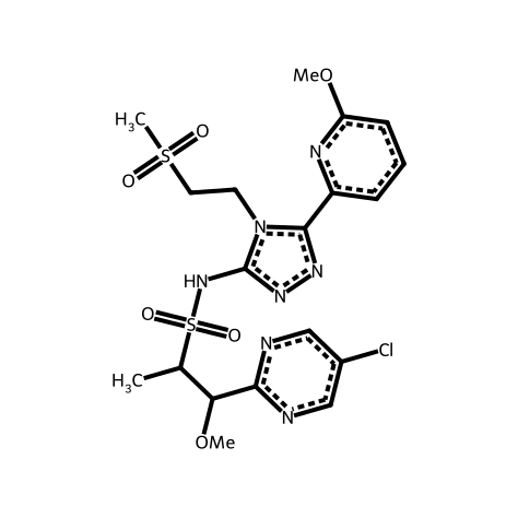 COc1cccc(-c2nnc(NS(=O)(=O)C(C)C(OC)c3ncc(Cl)cn3)n2CCS(C)(=O)=O)n1